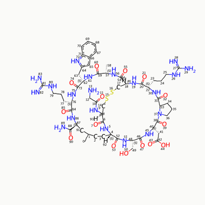 CC1CC[C@@H]2NC(=O)[C@@H](NC(=O)CN)CSSC[C@H](NC(=O)[C@H](CCCNC(=N)N)NC(=O)C3CCCN3C(=O)[C@H](CC(=O)O)NC(=O)[C@H](CO)NC2=O)C(=O)N[C@@H](C)C(=O)N[C@@H](Cc2cc3ccccc3[nH]2)C(=O)N[C@@H](CCCNC(=N)N)C(=O)N[C@H](C(N)=O)C1